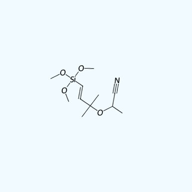 CO[Si](C=CC(C)(C)OC(C)C#N)(OC)OC